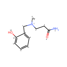 CC(C)N(CCC(N)=O)Cc1ccccc1O